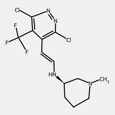 CN1CCC[C@@H](N/C=C/c2c(Cl)nnc(Cl)c2C(F)(F)F)C1